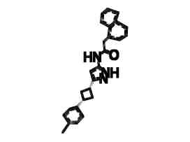 Cc1ccc([C@H]2C[C@@H](c3cc(NC(=O)Cc4cccc5ccccc45)[nH]n3)C2)cc1